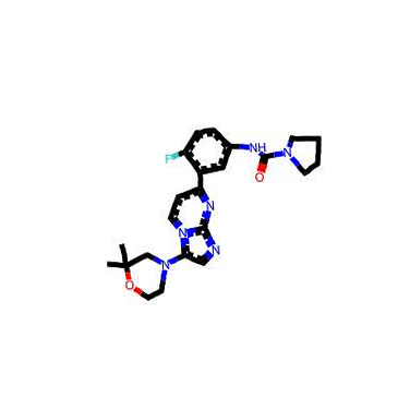 CC1(C)CN(c2cnc3nc(-c4cc(NC(=O)N5CCCC5)ccc4F)ccn23)CCO1